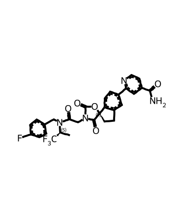 C[C@H](N(Cc1ccc(F)cc1)C(=O)CN1C(=O)O[C@@]2(CCc3cc(-c4cc(C(N)=O)ccn4)ccc32)C1=O)C(F)(F)F